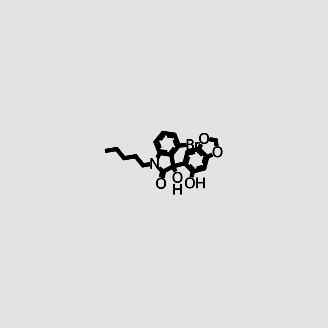 CCCCCN1C(=O)C(O)(c2cc3c(cc2O)OCO3)c2c(Br)cccc21